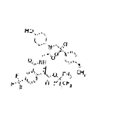 CSc1ccc(S(=O)(=O)CN(C(=O)CNC(=O)c2cc(C(F)(F)F)ccc2NC(=O)OC(C)(C)C)C2CCC(O)CC2)cc1